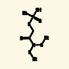 CCSN(SCC)C(=S)CSP(=S)(S)CC